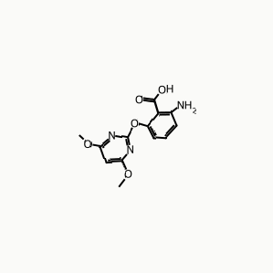 COc1cc(OC)nc(Oc2cccc(N)c2C(=O)O)n1